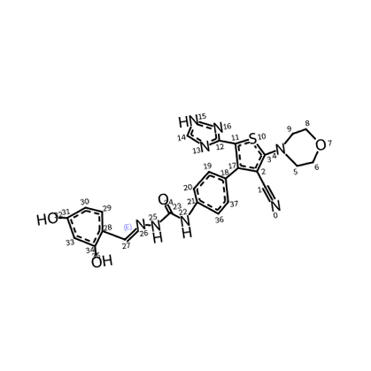 N#Cc1c(N2CCOCC2)sc(-c2nc[nH]n2)c1-c1ccc(NC(=O)N/N=C/c2ccc(O)cc2O)cc1